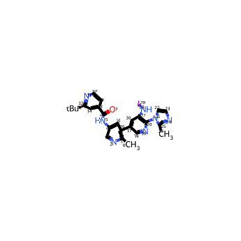 Cc1ncc(NC(=O)c2ccnc(C(C)(C)C)c2)cc1-c1cnc(-n2ccnc2C)c(NI)c1